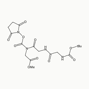 COC(=O)CN(C(=O)CNC(=O)CNC(=O)OC(C)(C)C)C(=O)ON1C(=O)CCC1=O